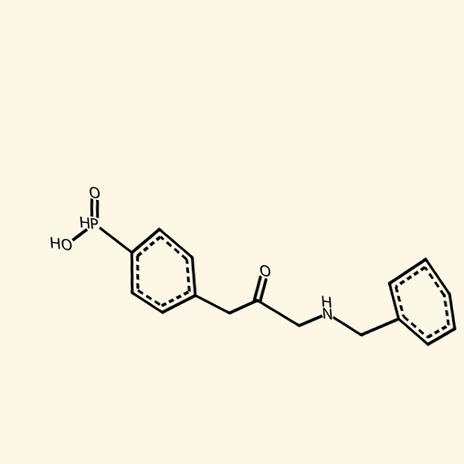 O=C(CNCc1ccccc1)Cc1ccc([PH](=O)O)cc1